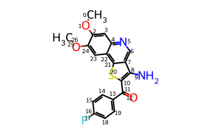 COc1cc2ncc3c(N)c(C(=O)c4ccc(F)cc4)sc3c2cc1OC